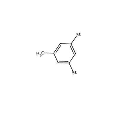 CCc1[c]c(C)cc(CC)c1